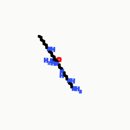 CCCCCCCNCCCC[C@H](N)C(=O)NCCCNCCCCNCCCN